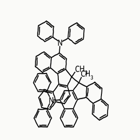 CC1(C2(C)c3ccc4ccccc4c3-c3c2cc(N(c2ccccc2)c2ccccc2)c2ccccc32)c2ccc3ccccc3c2-c2c1cc(N(c1ccccc1)c1ccccc1)c1ccccc21